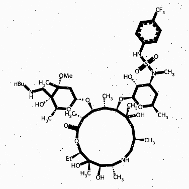 CCCCNC[C@]1(O)[C@H](C)O[C@@H](O[C@H]2[C@H](C)[C@@H](O[C@@H]3O[C@H](C)C[C@H](N(C)S(=O)(=O)Nc4ccc(C(F)(F)F)cc4)[C@H]3O)[C@](C)(O)C[C@@H](C)CN[C@H](C)[C@@H](O)[C@](C)(O)[C@@H](CC)OC(=O)[C@@H]2C)C[C@@]1(C)OC